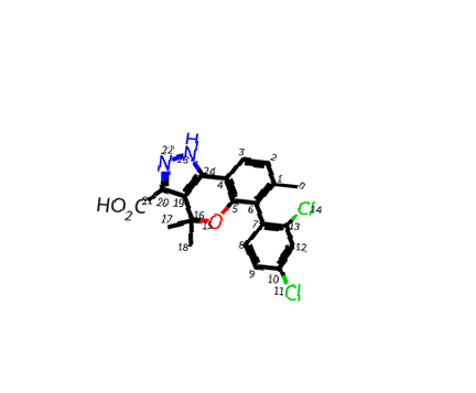 Cc1ccc2c(c1-c1ccc(Cl)cc1Cl)OC(C)(C)c1c(C(=O)O)n[nH]c1-2